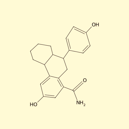 NC(=O)c1cc(O)cc2c1CC(c1ccc(O)cc1)C1CCCCC21